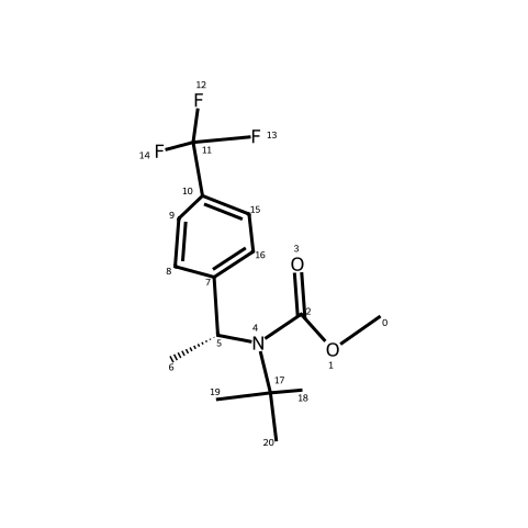 COC(=O)N([C@H](C)c1ccc(C(F)(F)F)cc1)C(C)(C)C